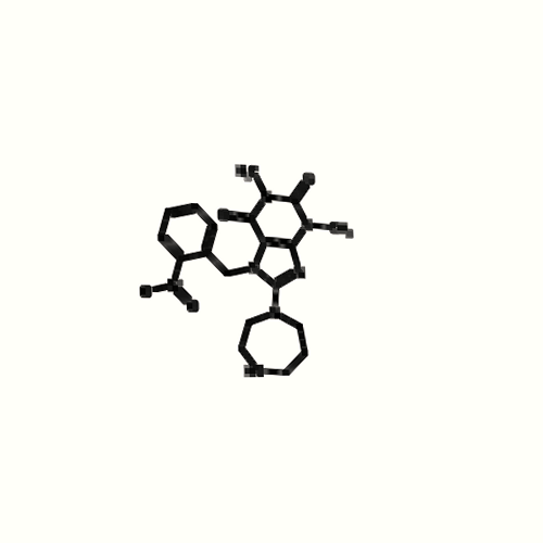 Cn1c(=O)c2c(nc(N3CCCNCC3)n2Cc2ccccc2[N+](=O)[O-])n(C)c1=O